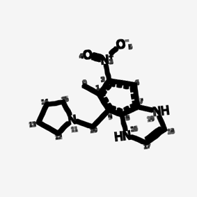 Cc1c([N+](=O)[O-])cc2c(c1CN1CCCC1)NC=CN2